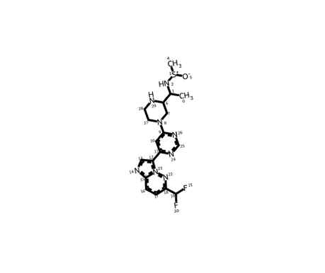 CC(N[S+](C)[O-])C1CN(c2cc(-c3cnc4ccc(C(F)F)nn34)ncn2)CCN1